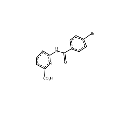 O=C(Nc1cccc(C(=O)O)n1)c1ccc(Br)cc1